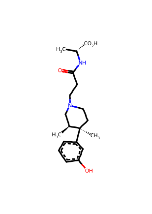 C[C@@H](NC(=O)CCN1CC[C@@](C)(c2cccc(O)c2)[C@@H](C)C1)C(=O)O